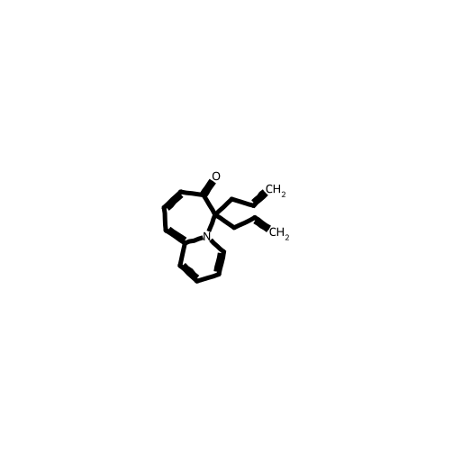 C=CCC1(CC=C)C(=O)C=CC=C2C=CC=CN21